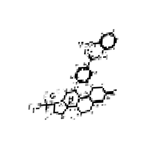 COc1ccccc1NC(=O)c1ccc([C@H]2C[C@@]3(C)[C@@H](CC[C@@]3(O)C(F)(F)C(F)(F)F)[C@@H]3CCC4=CC(=O)CCC4=C32)cc1